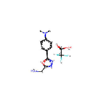 CN(C)c1ccc(-c2nnc(CN)o2)cc1.O=C(O)C(F)(F)F